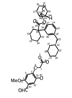 COc1cc(OCC(=O)O[C@H]2CC[C@H](Cc3cccc(C4(C(=O)O[C@H]5CN6CCC5CC6)CCCCC4)c3)CC2)c(Cl)cc1C=O